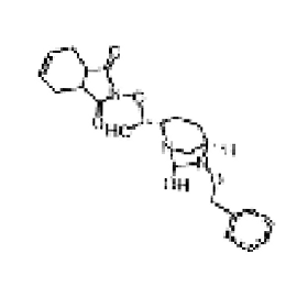 O=C1C2CC=CCC2C(=O)N1OC(O)[C@@H]1CC[C@@H]2CN1C(O)N2OCc1ccccc1